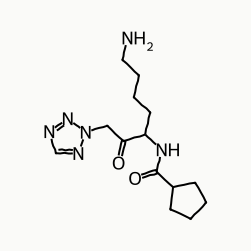 NCCCCC(NC(=O)C1CCCC1)C(=O)Cn1ncnn1